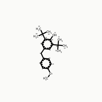 COc1ccc(Cc2cc(C(C)(C)C)c(O)c(C(C)(C)C)c2)cc1